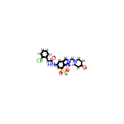 CS(=O)(=O)c1cc(NC(=O)Cc2ccccc2Cl)cc2cn(CN3CCC(=O)CC3)nc12